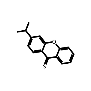 CC(C)c1ccc2c(=S)c3ccccc3oc2c1